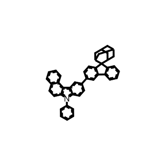 c1ccc(-n2c3ccc(-c4ccc5c(c4)-c4ccccc4C54C5CC6CC(C5)CC4C6)cc3c3c4ccccc4ccc32)cc1